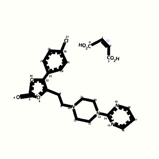 O=C(O)/C=C\C(=O)O.O=c1oc(CCN2CCN(c3ncccn3)CC2)c(-c2ccc(Cl)cc2)o1